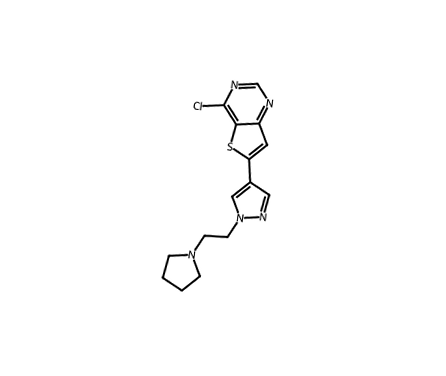 Clc1ncnc2cc(-c3cnn(CCN4CCCC4)c3)sc12